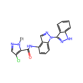 CCn1ncc(Cl)c1C(=O)Nc1cccc2c1cnn2-c1n[nH]c2ccccc12